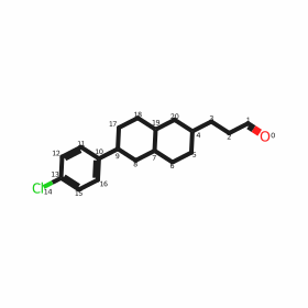 O=CCCC1CCC2CC(c3ccc(Cl)cc3)CCC2C1